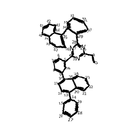 CCc1nc(-c2cccc(-c3ccc(-c4ccccc4)c4ccccc34)c2)nc(-c2ccccc2-c2cccc3ccccc23)n1